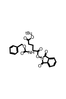 CC(C)(C)OC(=O)CCC(NC(=O)OCc1ccccc1)C(=O)ON1C(=O)c2ccccc2C1=O